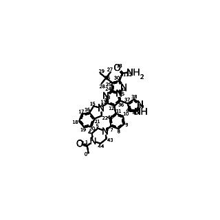 CC(=O)N1CCN(c2cccc(-c3c(N4Cc5ccccc5C4)nc4c(C(C)(C)C)c(C(N)=O)nn4c3-c3cn[nH]c3)c2)CC1